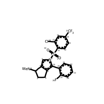 CNC1CCc2c1cn(S(=O)(=O)c1ccc(C(F)(F)F)cc1Cl)c2-c1ccccc1F